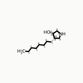 CCCCCCCC[C@H]1CNC[C@H]1O